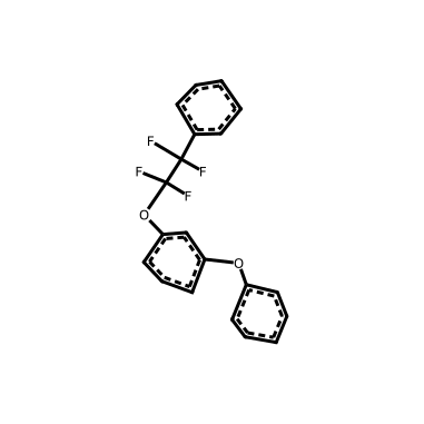 FC(F)(Oc1cccc(Oc2ccccc2)c1)C(F)(F)c1ccccc1